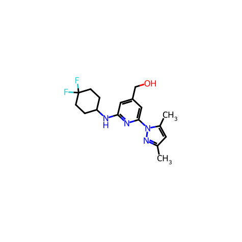 Cc1cc(C)n(-c2cc(CO)cc(NC3CCC(F)(F)CC3)n2)n1